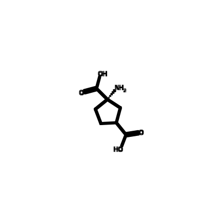 N[C@@]1(C(=O)O)CCC(C(=O)O)C1